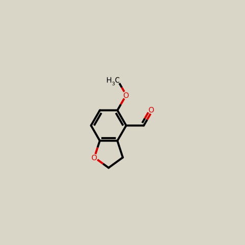 COc1ccc2c(c1C=O)CCO2